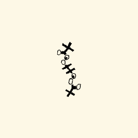 CC(C)(C)C(=O)OOC(C)(C)C(C)(C)OOC(=O)C(C)(C)C